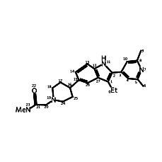 CCc1c(-c2cc(C)nc(C)c2)[nH]c2ccc(C3CCN(CC(=O)NC)CC3)cc12